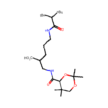 CCCCC(C(=O)NCCCC(CNC(=O)C1OC(C)(C)OCC1(C)C)C(=O)O)C(C)(C)C